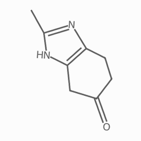 Cc1nc2c([nH]1)CC(=O)CC2